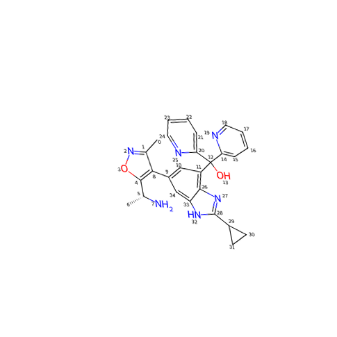 Cc1noc([C@@H](C)N)c1-c1cc(C(O)(c2ccccn2)c2ccccn2)c2nc(C3CC3)[nH]c2c1